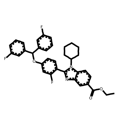 CCOC(=O)c1ccc2c(c1)nc(-c1ccc(OC(c3cccc(F)c3)c3cccc(F)c3)cc1F)n2C1CCCCC1